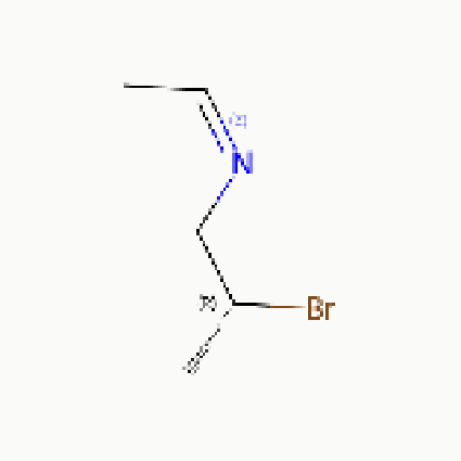 C/C=N\C[C@@H](C)Br